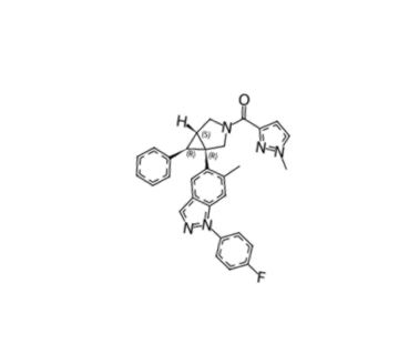 Cc1cc2c(cnn2-c2ccc(F)cc2)cc1[C@]12CN(C(=O)c3ccn(C)n3)C[C@H]1[C@@H]2c1ccccc1